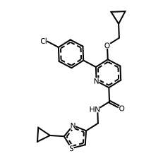 O=C(NCc1csc(C2CC2)n1)c1ccc(OCC2CC2)c(-c2ccc(Cl)cc2)n1